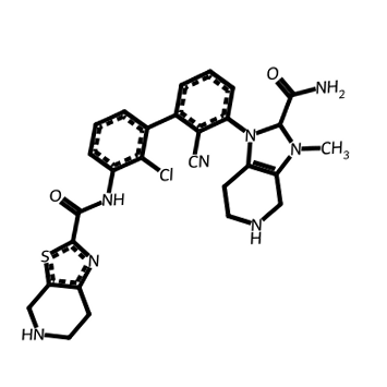 CN1C2=C(CCNC2)N(c2cccc(-c3cccc(NC(=O)c4nc5c(s4)CNCC5)c3Cl)c2C#N)C1C(N)=O